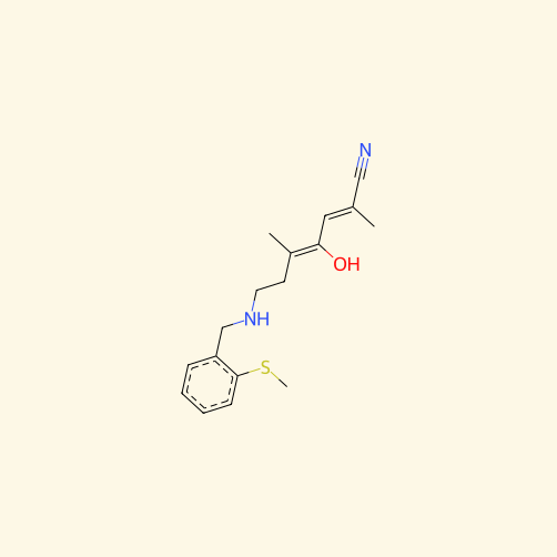 CSc1ccccc1CNCC/C(C)=C(O)/C=C(\C)C#N